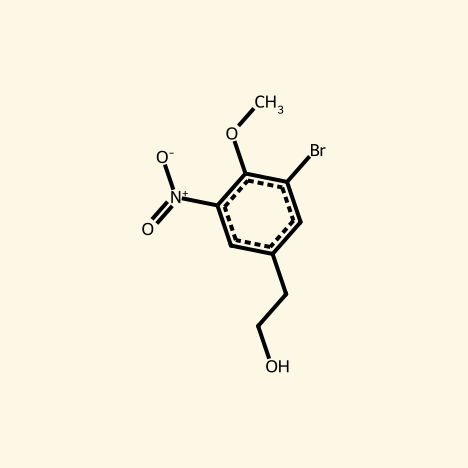 COc1c(Br)cc(CCO)cc1[N+](=O)[O-]